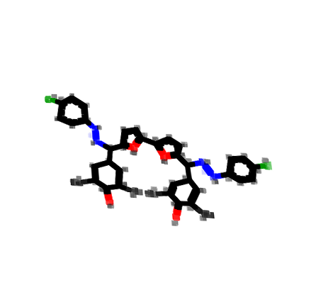 CC(C)(C)C1=CC(C(/N=N/c2ccc(Cl)cc2)c2ccc(-c3ccc(C(/N=N/c4ccc(Cl)cc4)C4C=C(C(C)(C)C)C(=O)C(C(C)(C)C)=C4)o3)o2)C=C(C(C)(C)C)C1=O